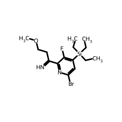 CC[Si](CC)(CC)c1cc(Br)nc(C(=N)CCOC)c1F